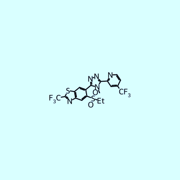 CCS(=O)(=O)c1cc2nc(C(F)(F)F)sc2cc1-c1nnc(-c2cc(C(F)(F)F)ccn2)n1C